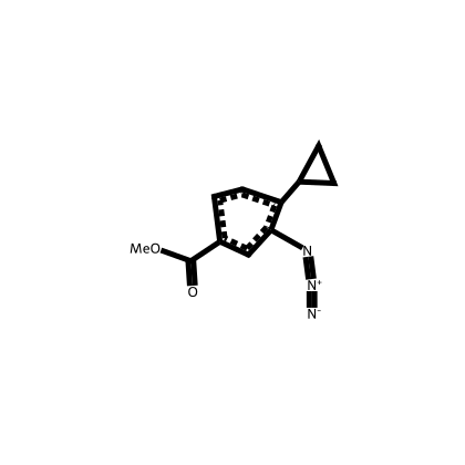 COC(=O)c1ccc(C2CC2)c(N=[N+]=[N-])c1